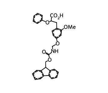 COc1cc(OCNC(=O)OCC2c3ccccc3-c3ccccc32)ccc1CC(Oc1ccccc1)C(=O)O